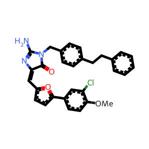 COc1ccc(-c2ccc(C=C3N=C(N)N(Cc4ccc(CCc5ccccc5)cc4)C3=O)o2)cc1Cl